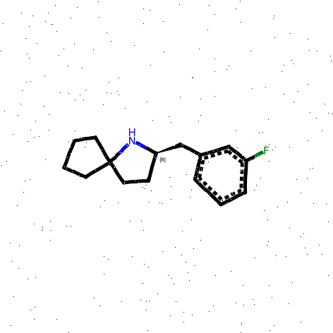 Fc1cccc(C[C@H]2CCC3(CCCC3)N2)c1